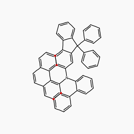 c1ccc(-c2ccccc2N(c2ccc3c(c2)C(c2ccccc2)(c2ccccc2)c2ccccc2-3)c2cccc3ccc4ccccc4c23)cc1